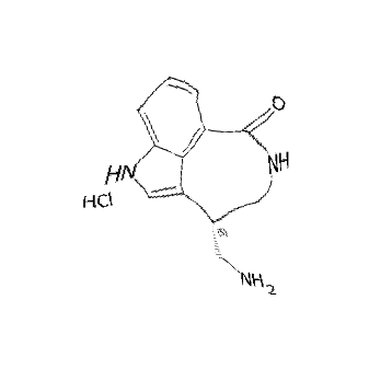 Cl.NC[C@H]1CNC(=O)c2cccc3[nH]cc1c23